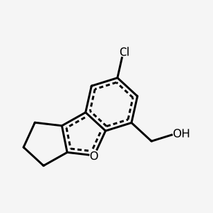 OCc1cc(Cl)cc2c3c(oc12)CCC3